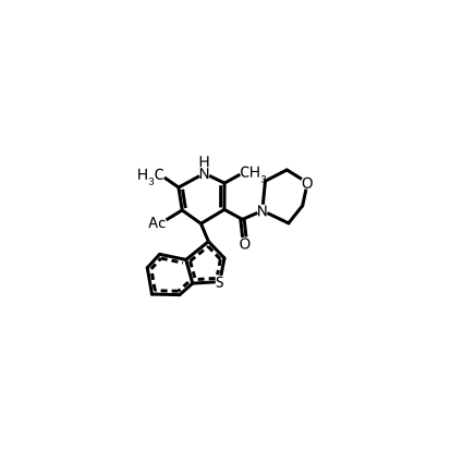 CC(=O)C1=C(C)NC(C)=C(C(=O)N2CCOCC2)C1c1csc2ccccc12